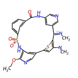 C=Nc1cc2sc1/C(=N\C)c1cncc(c1)NC(=O)c1cccc(c1)S(=O)(=O)Nc1cc-2cnc1OC